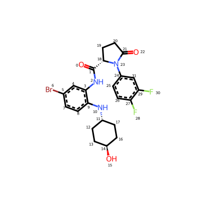 O=C(Nc1cc(Br)ccc1N[C@H]1CC[C@H](O)CC1)[C@@H]1CCC(=O)N1c1ccc(F)c(F)c1